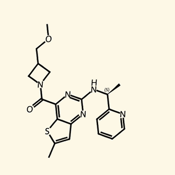 COCC1CN(C(=O)c2nc(N[C@@H](C)c3ccccn3)nc3cc(C)sc23)C1